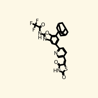 O=C1NC(=O)/C(=C\c2ccc(-c3cc(C45CC6CC(CC(C6)C4)C5)c4oc(NC(=O)C(F)(F)F)nc4c3)nc2)S1